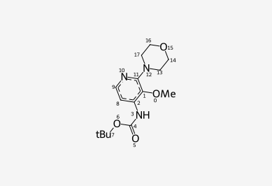 COc1c(NC(=O)OC(C)(C)C)ccnc1N1CCOCC1